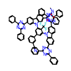 C/N=C(\N=C(/N)c1ccc2c3ccc(-c4nc(-c5ccccc5)nc(-c5ccccc5)n4)cc3n(-c3cc(-c4cccc(C#N)c4)cc(-n4c5cc(-c6nc(-c7ccccc7)nc(-c7ccccc7)n6)ccc5c5ccc(-c6nc(-c7ccccc7)nc(-c7ccccc7)n6)cc54)c3C(F)(F)F)c2c1)c1ccccc1